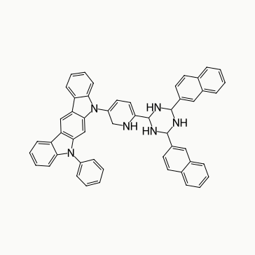 C1=C(C2NC(c3ccc4ccccc4c3)NC(c3ccc4ccccc4c3)N2)NCC(n2c3ccccc3c3cc4c5ccccc5n(-c5ccccc5)c4cc32)=C1